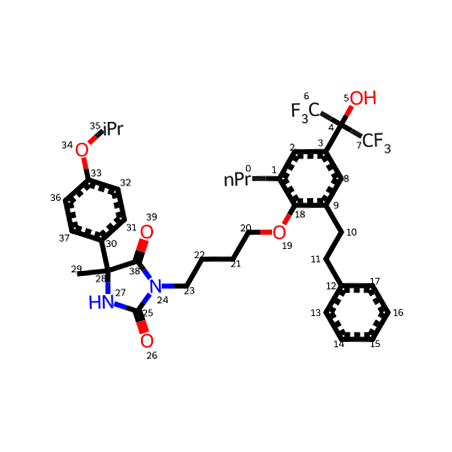 CCCc1cc(C(O)(C(F)(F)F)C(F)(F)F)cc(CCc2ccccc2)c1OCCCCN1C(=O)NC(C)(c2ccc(OC(C)C)cc2)C1=O